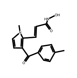 Cc1ccc(C(=O)c2ccn(C)c2C=CC(=O)NO)cc1